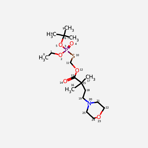 CCOP(=O)(OC(C)(C)C)SCOC(=O)C(C)(C)CCN1CCOCC1